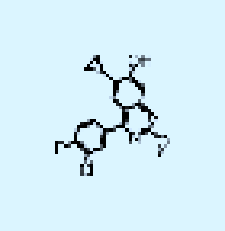 COc1nc(-c2ccc(F)c(Cl)c2)c2cc(C3CC3)c(O)cc2n1